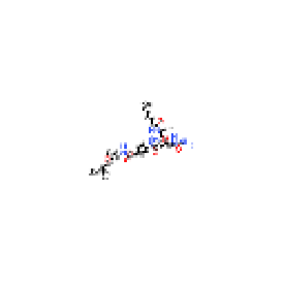 CC(C)C(NC(=O)CCCCCC(C)(C)C)C(=O)N[C@@H](CCCNC(N)=O)C(=O)Nc1ccc(COC(=O)NCCC(C)(C)OCCC(C)(C)C(C)(C)C)cc1